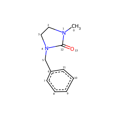 CN1CCN(Cc2ccccc2)C1=O